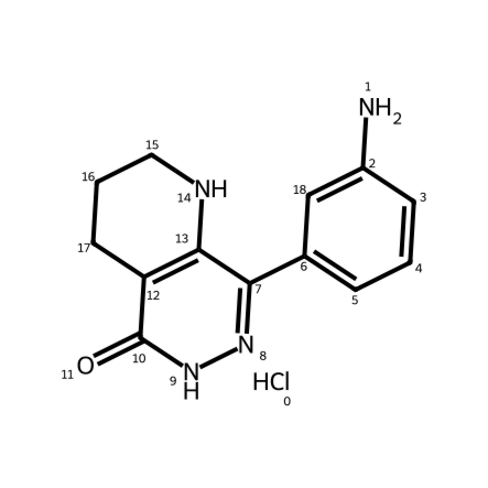 Cl.Nc1cccc(-c2n[nH]c(=O)c3c2NCCC3)c1